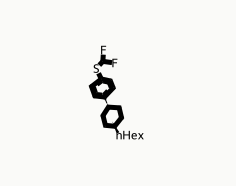 CCCCCC[C@H]1CC[C@H](c2ccc(SC(F)F)cc2)CC1